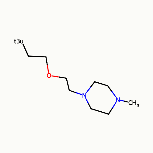 CN1CCN(CCOCCC(C)(C)C)CC1